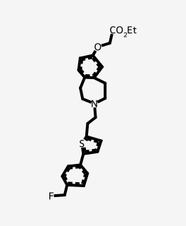 CCOC(=O)COc1ccc2c(c1)CCN(CCc1ccc(-c3ccc(CF)cc3)s1)CC2